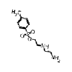 Cc1ccc(S(=O)(=O)OCCNCCN)cc1